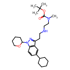 CN(CCNCCc1nn(C2CCCCO2)c2ccc(C3CCCCC3)cc12)C(=O)OC(C)(C)C